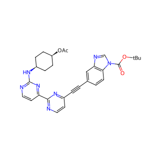 CC(=O)O[C@H]1CC[C@@H](Nc2nccc(-c3nccc(C#Cc4ccc5c(c4)ncn5C(=O)OC(C)(C)C)n3)n2)CC1